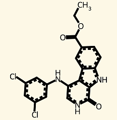 CCOC(=O)c1ccc2[nH]c3c(=O)[nH]cc(Nc4cc(Cl)cc(Cl)c4)c3c2c1